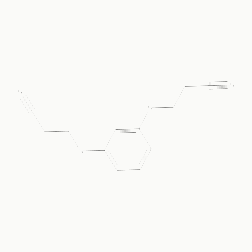 N#CCCNc1cccc(NCCC#N)c1